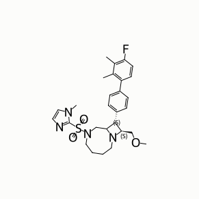 COC[C@@H]1[C@@H](c2ccc(-c3ccc(F)c(C)c3C)cc2)C2CN(S(=O)(=O)c3nccn3C)CCCCN21